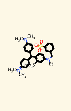 CCN(Cc1cccc(S(=O)(=O)[O-])c1)c1ccc(C(=C2C=CC(=[N+](C)C)C=C2)c2ccc(N(C)C)cc2)c(S(=O)(=O)O)c1